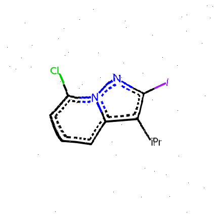 CC(C)c1c(I)nn2c(Cl)cccc12